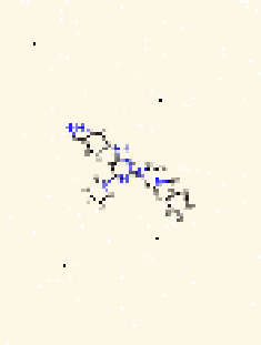 NCc1ccc(Nc2cc(N3CCCCC3)nc(N3CCN(Cc4ccccc4)CC3)n2)cc1